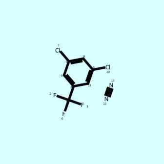 FC(F)(F)c1cc(Cl)cc(Cl)c1.N#N